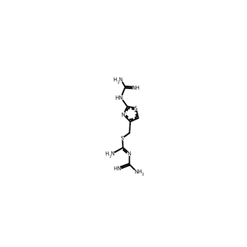 N=C(N)N=C(N)SCc1csc(NC(=N)N)n1